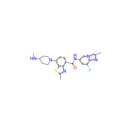 CNC1CCN(c2ccc(C(=O)Nc3cc(F)c4nc(C)cn4c3)c3nc(C)sc23)CC1